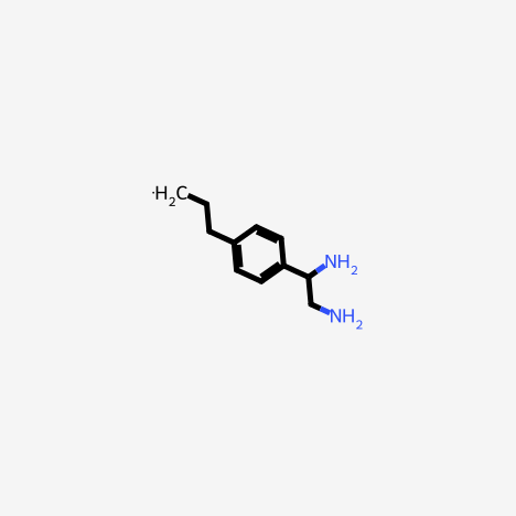 [CH2]CCc1ccc(C(N)CN)cc1